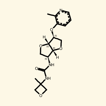 Cc1ncccc1O[C@H]1CO[C@H]2[C@@H]1OC[C@@H]2NC(=O)NC1(C)COC1